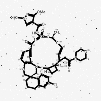 COc1nn(C)cc1C(=O)NS1(=O)=NC(=O)c2ccc3c(c2)N(C[C@@H]2CC[C@H]2[C@](O)(CC(=O)N2CCOCC2)/C=C/C[C@H](C)C1)C[C@@]1(CCCc2cc(Cl)ccc21)CO3